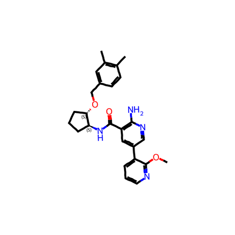 COc1ncccc1-c1cnc(N)c(C(=O)N[C@H]2CCC[C@@H]2OCc2ccc(C)c(C)c2)c1